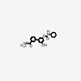 CNC(=O)c1cccc(-c2cc(O)cc(OC(=O)NC3CCCCC3)c2)c1